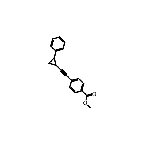 COC(=O)c1ccc(C#CC2CC2c2ccccc2)cc1